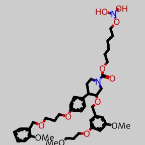 COCCCOc1cc(COC2CN(C(=O)OCCCCCCON(O)O)CCC2c2ccc(OCCCOCc3ccccc3OC)cc2)cc(OC)c1